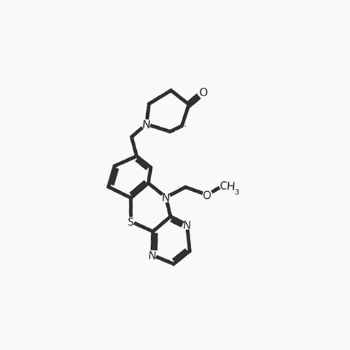 COCN1c2cc(CN3[CH][CH]C(=O)CC3)ccc2Sc2nccnc21